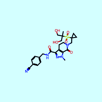 Cn1nc(C(=O)NCc2ccc(C#N)cc2)c2c1C(=O)N(CC1(S(=O)(=O)C(C)(CO)CO)CC1)CC2